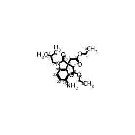 CCOC(=O)CC1(CC(=O)OCC)C(=O)N(CC(C)C)c2ccc(N)cc21